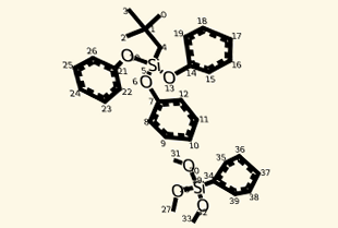 CC(C)(C)C[Si](Oc1ccccc1)(Oc1ccccc1)Oc1ccccc1.CO[Si](OC)(OC)c1ccccc1